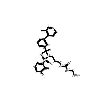 Cc1cnccc1-c1cccc(C(C)(C)N(CCCNC(=O)NCS(=O)(=O)O)S(=O)(=O)c2cccc(Cl)c2C)c1